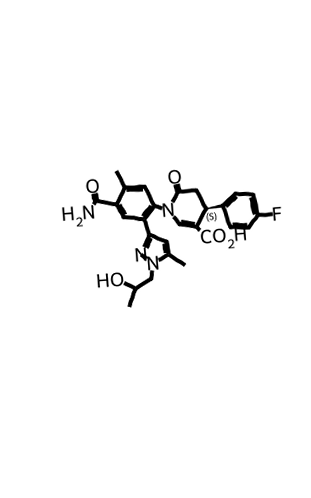 Cc1cc(N2C=C(C(=O)O)[C@H](c3ccc(F)cc3)CC2=O)c(-c2cc(C)n(CC(C)O)n2)cc1C(N)=O